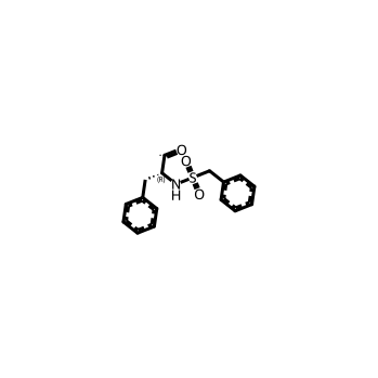 O=[C][C@@H](Cc1ccccc1)NS(=O)(=O)Cc1ccccc1